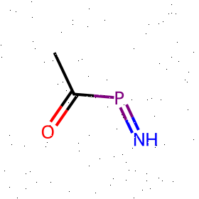 CC(=O)P=N